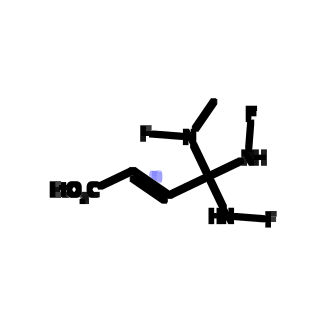 CCOC(=O)/C=C/C(NF)(NF)N(C)F